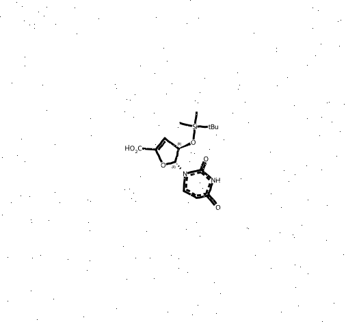 CC(C)(C)[Si](C)(C)O[C@@H]1C=C(C(=O)O)O[C@H]1n1ccc(=O)[nH]c1=O